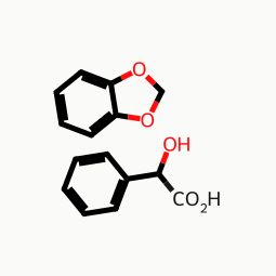 O=C(O)C(O)c1ccccc1.c1ccc2c(c1)OCO2